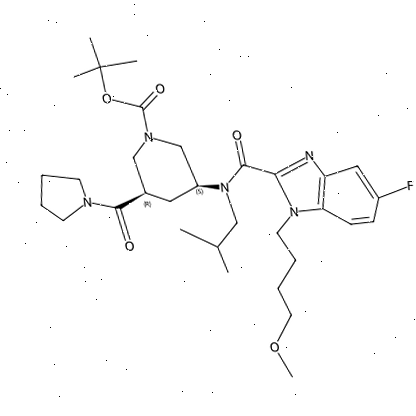 COCCCCn1c(C(=O)N(CC(C)C)[C@H]2C[C@@H](C(=O)N3CCCC3)CN(C(=O)OC(C)(C)C)C2)nc2cc(F)ccc21